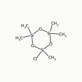 C[Si]1(C)O[Si](C)(C)O[Si](C)(Cl)O1